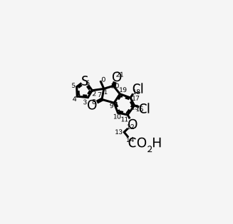 CC1(c2cccs2)C(=O)c2cc(OCC(=O)O)c(Cl)c(Cl)c2C1=O